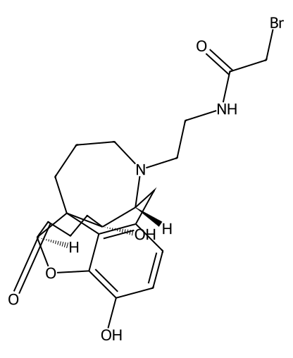 O=C(CBr)NCCN1CCCC23c4c5ccc(O)c4O[C@H]2C(=O)CC[C@@]3(O)[C@H]1C5